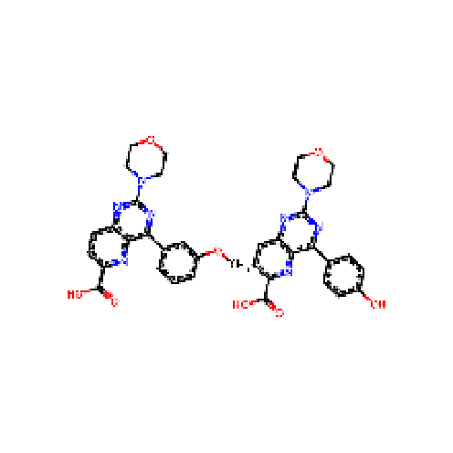 COc1cccc(-c2nc(N3CCOCC3)nc3ccc(C(=O)O)nc23)c1.O=C(O)c1ccc2nc(N3CCOCC3)nc(-c3ccc(O)cc3)c2n1